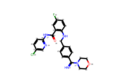 N=C(c1ccc(CNc2ccc(F)cc2C(=O)Nc2ccc(Cl)cn2)cc1)N1CCOCC1